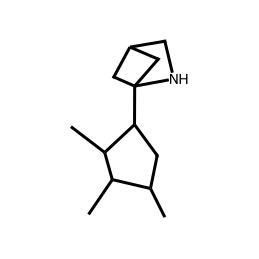 CC1CC(C23CC(CN2)C3)C(C)C1C